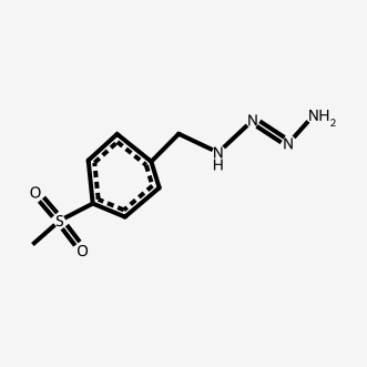 CS(=O)(=O)c1ccc(CNN=NN)cc1